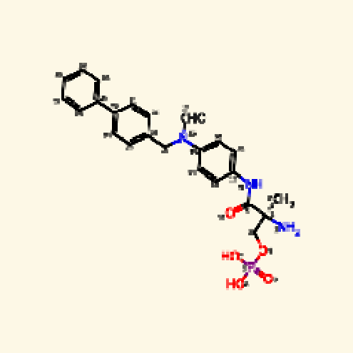 C[C@](N)(COP(=O)(O)O)C(=O)Nc1ccc(N(C=O)Cc2ccc(-c3ccccc3)cc2)cc1